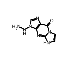 NNn1cnc2c(=O)n3cc[nH]c3nc21